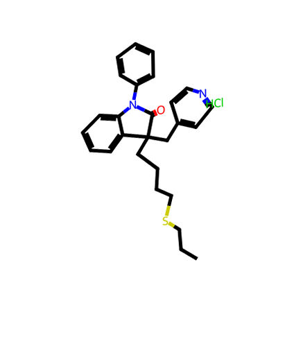 CCCSCCCCC1(Cc2ccncc2)C(=O)N(c2ccccc2)c2ccccc21.Cl